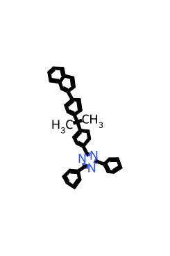 CC(C)(C1=CC=C(c2nc(-c3ccccc3)nc(-c3ccccc3)n2)CC1)c1ccc(-c2ccc3ccccc3c2)cc1